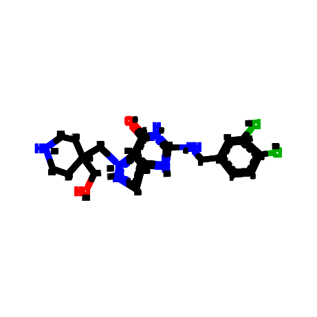 O=c1[nH]c(NCc2ccc(Cl)c(Cl)c2)nc2cnn(CC3(CO)CCNCC3)c12